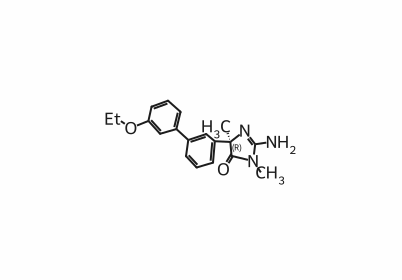 CCOc1cccc(-c2cccc([C@@]3(C)N=C(N)N(C)C3=O)c2)c1